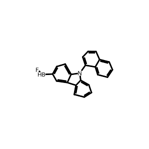 FBc1ccc2c(c1)c1ccccc1n2-c1cccc2ccccc12